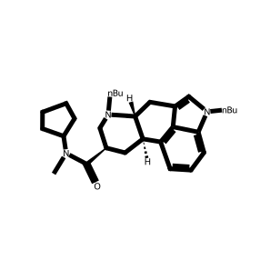 CCCCN1C[C@H](C(=O)N(C)C2CCCC2)C[C@@H]2c3cccc4c3c(cn4CCCC)C[C@H]21